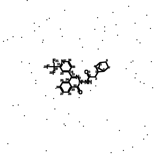 O=C(CC1CC2CCC1C2)Nn1nc(-c2ccnc(C(F)(F)F)c2)c2ccccc2c1=O